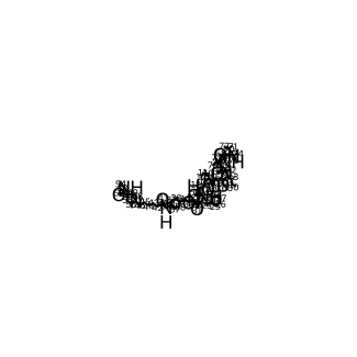 CC[C@H](C)[C@@H]([C@@H](CC(=O)N1CCC[C@H]1[C@H](OC)[C@@H](C)C(=O)N[C@@H](Cc1ccccc1)C(=O)NOCc1ccc(NC(=O)CCCCCN2CCC(C(=O)NC)CC2)cc1)OC)N(C)C(=O)[C@@H](NC(=O)[C@H](C(C)C)N(C)C)C(C)C